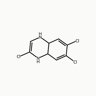 ClC1=CNC2C=C(Cl)C(Cl)=CC2N1